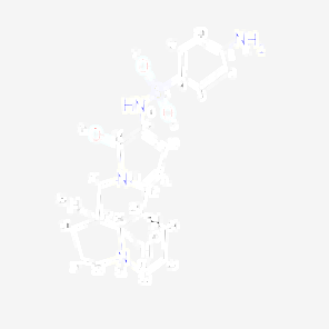 Nc1ccc(S(=O)(=O)Nc2ccc3n(c2=O)C[C@@H]2CCCN4CCC[C@H]3[C@H]24)cc1